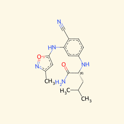 Cc1cc(Nc2cc(N[C@H](CC(C)C)C(N)=O)ccc2C#N)on1